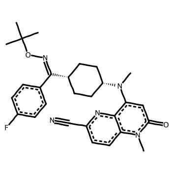 Cn1c(=O)cc(N(C)[C@H]2CC[C@@H](/C(=N/OC(C)(C)C)c3ccc(F)cc3)CC2)c2nc(C#N)ccc21